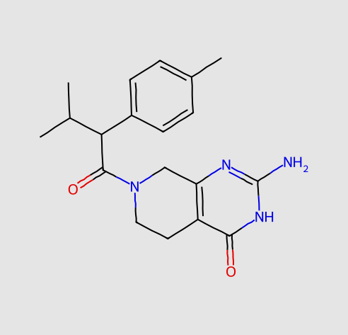 Cc1ccc(C(C(=O)N2CCc3c(nc(N)[nH]c3=O)C2)C(C)C)cc1